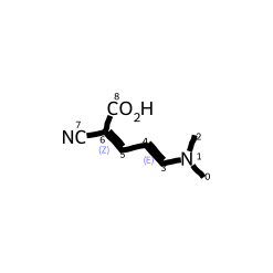 CN(C)/C=C/C=C(/C#N)C(=O)O